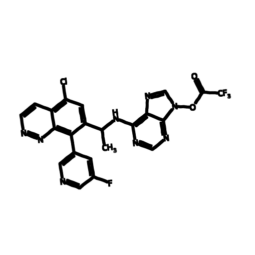 CC(Nc1ncnc2c1ncn2OC(=O)C(F)(F)F)c1cc(Cl)c2ccnnc2c1-c1cncc(F)c1